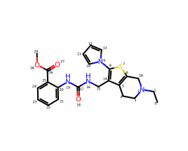 CCN1CCc2c(sc(-n3cccc3)c2CNC(=O)Nc2ccccc2C(=O)OC)C1